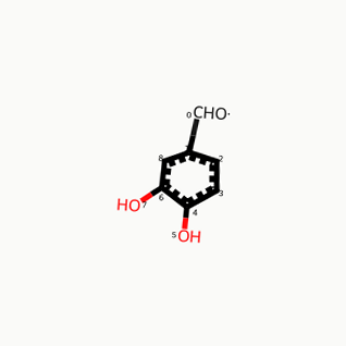 O=[C]c1ccc(O)c(O)c1